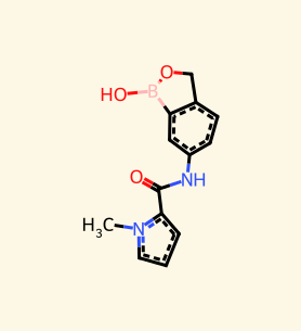 Cn1cccc1C(=O)Nc1ccc2c(c1)B(O)OC2